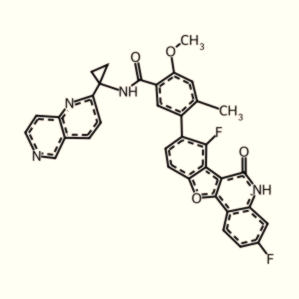 COc1cc(C)c(-c2ccc3oc4c5ccc(F)cc5[nH]c(=O)c4c3c2F)cc1C(=O)NC1(c2ccc3cnccc3n2)CC1